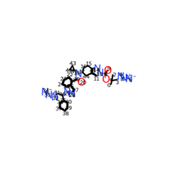 CC(C)(CN=[N+]=[N-])OC(=O)n1cc2c(n1)CCC(N(C(=O)c1cccc3c1cnn3C(CN=[N+]=[N-])c1ccccc1)C1CC1)C2